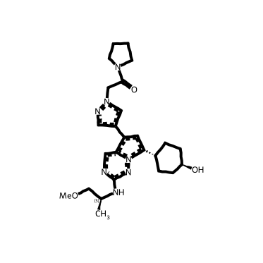 COC[C@H](C)Nc1ncc2c(-c3cnn(CC(=O)N4CCCC4)c3)cc([C@H]3CC[C@H](O)CC3)n2n1